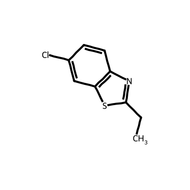 CCc1nc2ccc(Cl)cc2s1